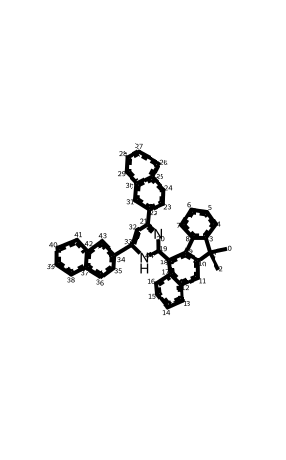 CC1(C)c2ccccc2-c2c1cc1ccccc1c2C1N=C(c2ccc3ccccc3c2)C=C(c2ccc3ccccc3c2)N1